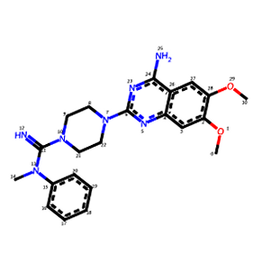 COc1cc2nc(N3CCN(C(=N)N(C)c4ccccc4)CC3)nc(N)c2cc1OC